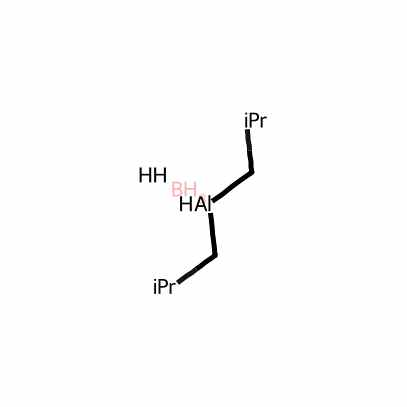 B.CC(C)[CH2][AlH][CH2]C(C)C.[HH]